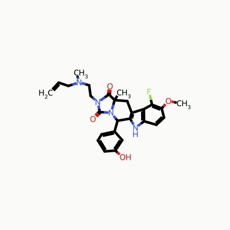 C=CCN(C)CCN1C(=O)N2C(c3cccc(O)c3)c3[nH]c4ccc(OC)c(F)c4c3CC2(C)C1=O